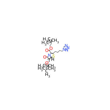 CC(C)(C)[Si](C)(C)OC[C@H]1C(=O)N2C(C(=O)OCC[Si](C)(C)C)=C(CCCCn3cnnn3)S[C@H]12